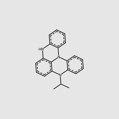 CC(C)N1c2ccccc2N2c3ccccc3Nc3cccc1c32